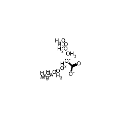 O.O.O.O.O.O.O.O.O=C([O-])[O-].[Mg+2]